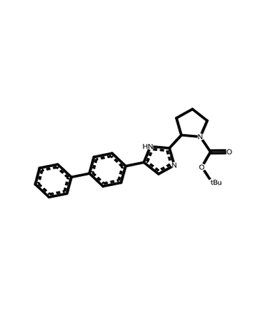 CC(C)(C)OC(=O)N1CCCC1c1ncc(-c2ccc(-c3ccccc3)cc2)[nH]1